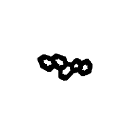 C1=Cc2c(ccc3ccccc23)C2C=c3ccccc3=C12